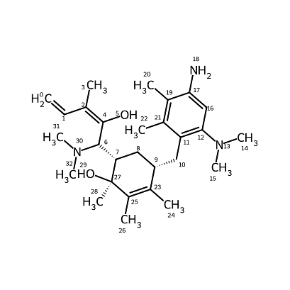 C=C/C(C)=C(/O)C([C@@H]1C[C@H](Cc2c(N(C)C)cc(N)c(C)c2C)C(C)=C(C)[C@@]1(C)O)N(C)C